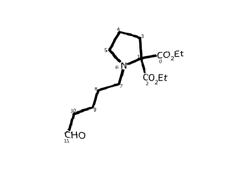 CCOC(=O)C1(C(=O)OCC)CCCN1CCCCC=O